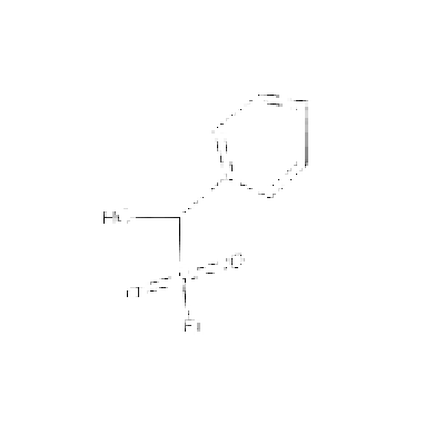 CCS(=O)(=O)C(O)c1ccccc1